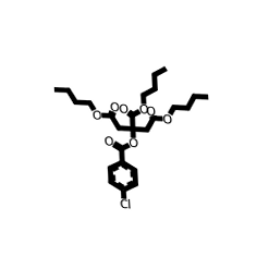 CCCCOC(=O)CC(CC(=O)OCCCC)(OC(=O)c1ccc(Cl)cc1)C(=O)OCCCC